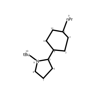 CCCC1CCC(C2CCCN2C(C)(C)C)CC1